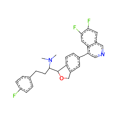 CN(C)C(CCc1ccc(F)cc1)C1OCc2cc(-c3cncc4cc(F)c(F)cc34)ccc21